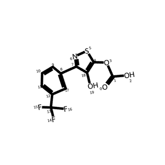 O=C(O)Oc1snc(-c2cccc(C(F)(F)F)c2)c1O